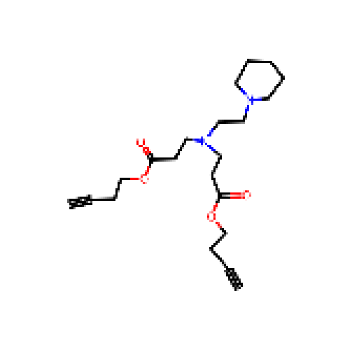 C#CCCOC(=O)CCN(CCC(=O)OCCC#C)CCN1CCCCC1